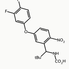 CC(C)(C)C(NC(=O)O)c1cc(Oc2ccc(F)c(F)c2)ccc1[N+](=O)[O-]